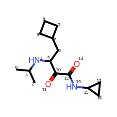 CC(C)NC(CC1CCC1)C(=O)C(=O)NC1CC1